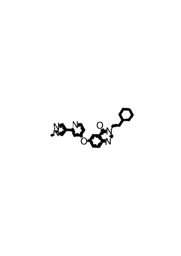 Cn1cc(-c2cc(Oc3ccc4ncn(CCC5CCCCC5)c(=O)c4c3)ccn2)cn1